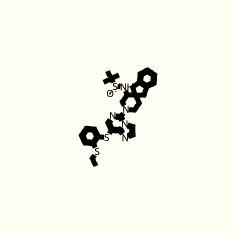 CCSc1ccccc1Sc1cnc(N2CCC3(Cc4ccccc4C3)C(N[S@+]([O-])C(C)(C)C)C2)n2ccnc12